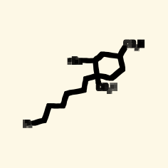 CCCCC1CC(C(=O)O)CCC1(CCCCCCC(C)C)C(=O)O